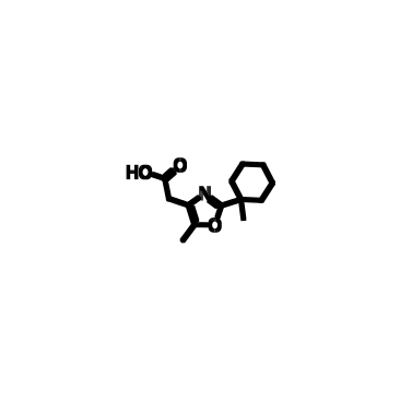 Cc1oc(C2(C)CCCCC2)nc1CC(=O)O